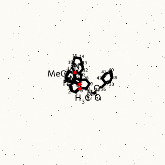 COc1nc2ccccc2n1C1CCC2CCC(C1)N2CCC1(c2ccccc2)CCC(N(C)C(=O)OCc2ccccc2)CC1